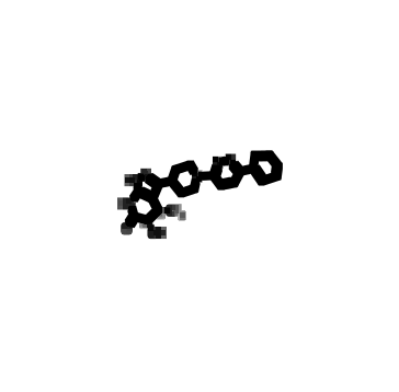 O=C1Nc2[nH]nc(C3CCN(c4ccc(-c5ccccc5)nn4)CC3)c2[C@H](C(F)(F)F)[C@@H]1O